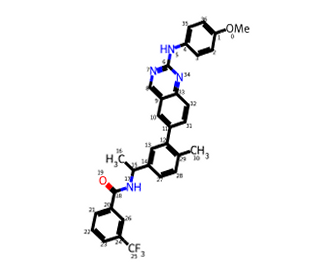 COc1ccc(Nc2ncc3cc(-c4cc(C(C)NC(=O)c5cccc(C(F)(F)F)c5)ccc4C)ccc3n2)cc1